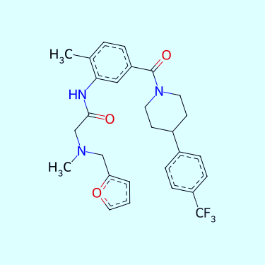 Cc1ccc(C(=O)N2CCC(c3ccc(C(F)(F)F)cc3)CC2)cc1NC(=O)CN(C)Cc1ccco1